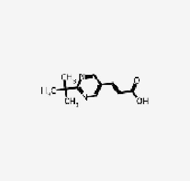 CC(C)(C)c1ncc(/C=C/C(=O)O)cn1